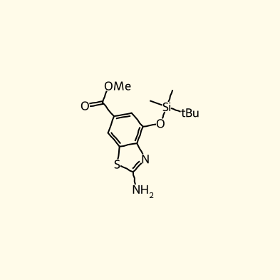 COC(=O)c1cc(O[Si](C)(C)C(C)(C)C)c2nc(N)sc2c1